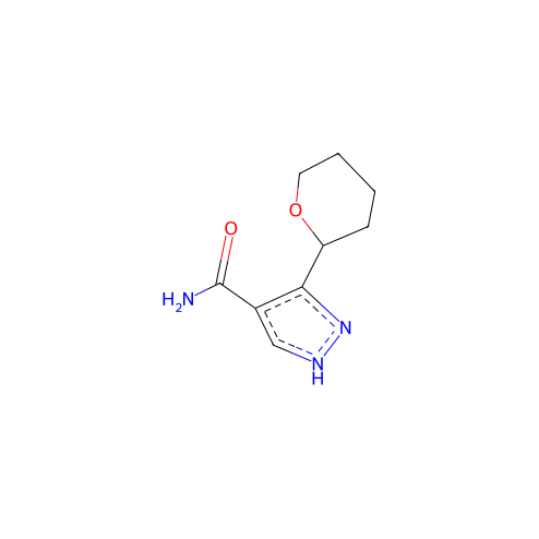 NC(=O)c1c[nH]nc1C1CCCCO1